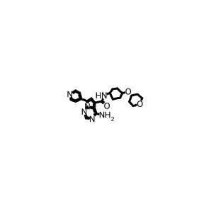 Nc1ncnn2c(-c3ccncc3)cc(C(=O)NC3CCC(OC4CCOCC4)CC3)c12